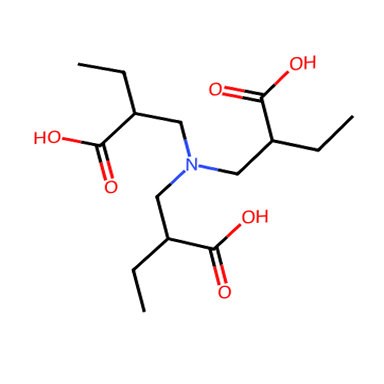 CCC(CN(CC(CC)C(=O)O)CC(CC)C(=O)O)C(=O)O